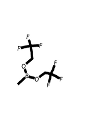 CB(OCC(F)(F)F)OCC(F)(F)F